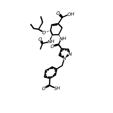 CCC(CC)O[C@@H]1C=C(C(=O)O)C[C@H](NC(=O)c2cnn(Cc3cccc(C(=O)S)c3)c2)[C@H]1NC(C)=O